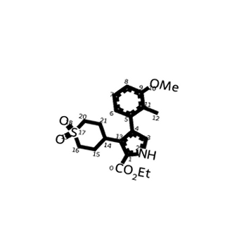 CCOC(=O)c1[nH]cc(-c2cccc(OC)c2C)c1C1CCS(=O)(=O)CC1